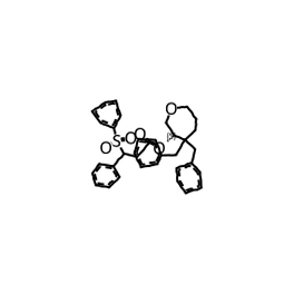 O=C(CC(c1ccccc1)S(=O)(=O)c1ccccc1)O[C@@H]1COCCCC1(Cc1ccccc1)Cc1ccccc1